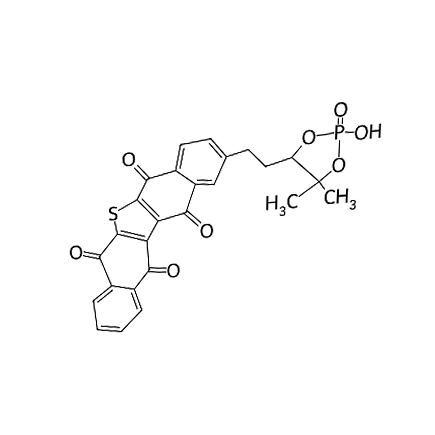 CC1(C)OP(=O)(O)OC1CCc1ccc2c(=O)c3sc4c(=O)c5ccccc5c(=O)c4c3c(=O)c2c1